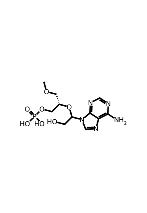 COC[C@@H](COP(=O)(O)O)OC(CO)n1cnc2c(N)ncnc21